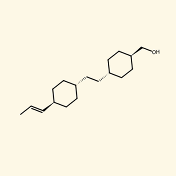 CC=C[C@H]1CC[C@H](CC[C@H]2CC[C@H](CO)CC2)CC1